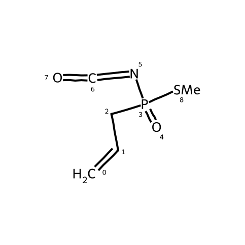 C=CCP(=O)(N=C=O)SC